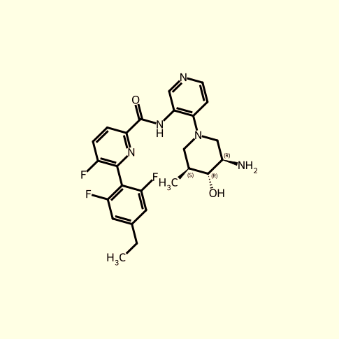 CCc1cc(F)c(-c2nc(C(=O)Nc3cnccc3N3C[C@@H](N)[C@H](O)[C@@H](C)C3)ccc2F)c(F)c1